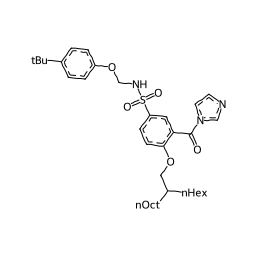 CCCCCCCCC(CCCCCC)COc1ccc(S(=O)(=O)NCOc2ccc(C(C)(C)C)cc2)cc1C(=O)n1ccnc1